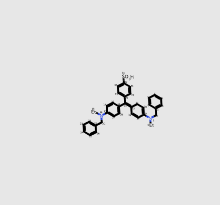 CCN(Cc1ccccc1)C1=CC/C(=C(/c2ccc(N(CC)Cc3ccccc3)cc2)c2ccc(S(=O)(=O)O)cc2)C=C1